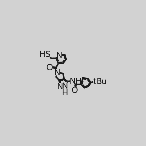 CC(C)(C)c1ccc(C(=O)Nc2[nH]nc3c2CN(C(=O)c2cccnc2CS)C3)cc1